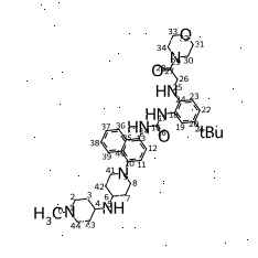 CN1CCC(NC2CCN(c3ccc(NC(=O)Nc4cc(C(C)(C)C)ccc4NCC(=O)N4CCOCC4)c4ccccc34)CC2)CC1